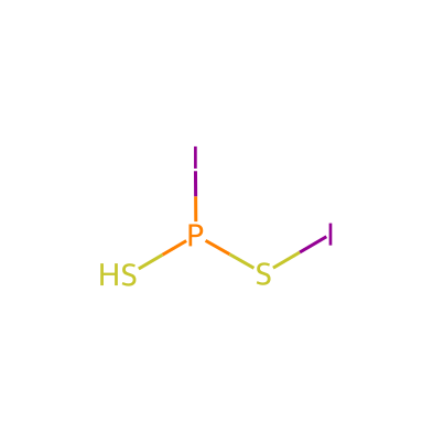 SP(I)SI